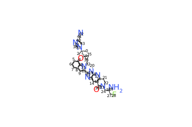 C[C@@H](COc1cccc2cc(-c3nc4cc5c(nc4n3C)CCN(C[C@H](N)CF)C5=O)n(CC3CC3)c12)n1cnc(C#N)c1